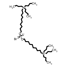 CCCC[N+](CCCC)(CCCC)CCCCCCCCCCOP(=S)([S-])OCCCCCCCCCC[N+](CCCC)(CCCC)CCCC.[Br-]